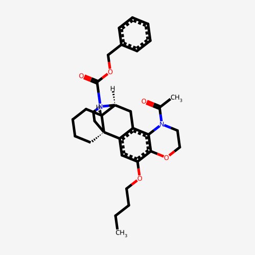 CCCCOc1cc2c(c3c1OCCN3C(C)=O)C[C@H]1[C@H]3CCCC[C@@]23CCN1C(=O)OCc1ccccc1